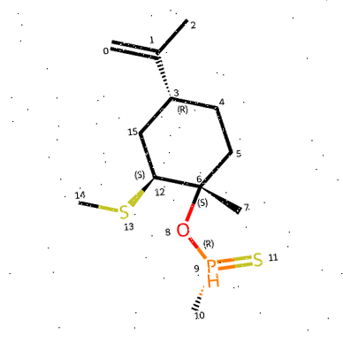 C=C(C)[C@@H]1CC[C@](C)(O[P@@H](C)=S)[C@@H](SC)C1